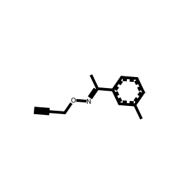 C#CCON=C(C)c1cc[c]c(C)c1